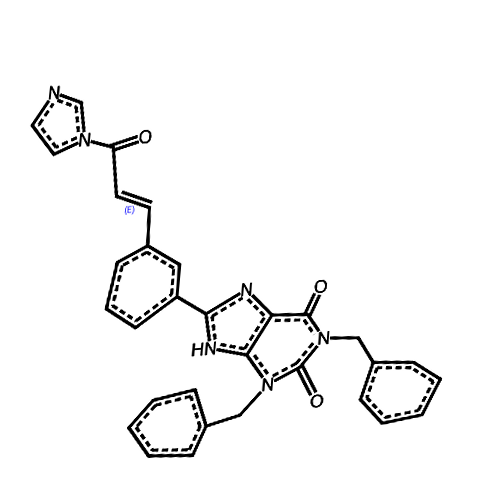 O=C(/C=C/c1cccc(-c2nc3c(=O)n(Cc4ccccc4)c(=O)n(Cc4ccccc4)c3[nH]2)c1)n1ccnc1